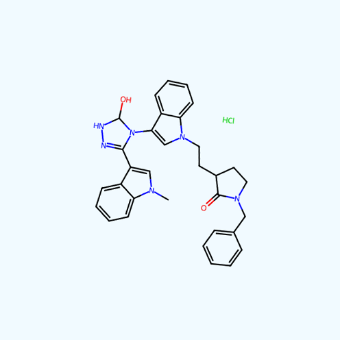 Cl.Cn1cc(C2=NNC(O)N2c2cn(CCC3CCN(Cc4ccccc4)C3=O)c3ccccc23)c2ccccc21